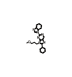 COCCCn1c(-c2ccccc2)nc2cnc(-n3cnc4ccccc43)nc21